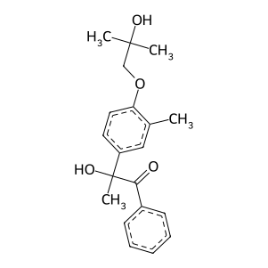 Cc1cc(C(C)(O)C(=O)c2ccccc2)ccc1OCC(C)(C)O